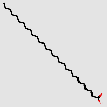 CCCCCCCCCCCCCCCCCCCCCC/C=C/C=C/C=C/C(=O)O